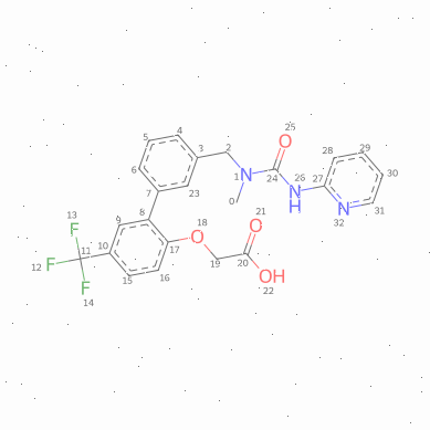 CN(Cc1cccc(-c2cc(C(F)(F)F)ccc2OCC(=O)O)c1)C(=O)Nc1ccccn1